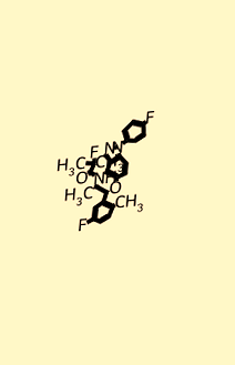 Cc1ccc(F)cc1[C@@H](Oc1ccc2c(cnn2-c2ccc(F)cc2)c1)[C@H](C)NC(=O)C(C)(C)F